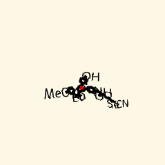 CCN(C(=O)C1CC2OC1C(c1ccc(NC(=O)CCCCC[Se]C#N)cc1)=C2c1ccc(O)cc1)c1cccc(OC)c1